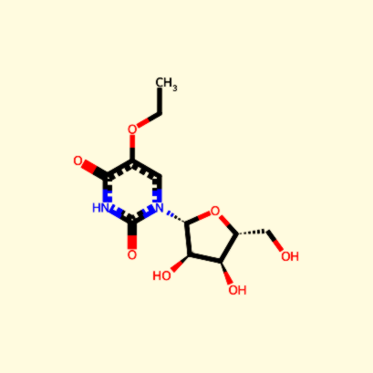 CCOc1cn([C@@H]2O[C@H](CO)[C@@H](O)[C@H]2O)c(=O)[nH]c1=O